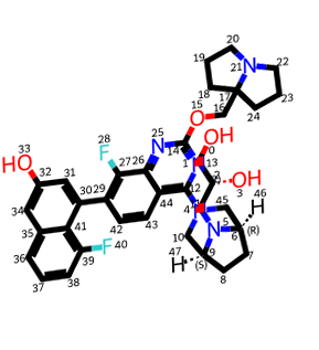 OC[C@H](O)CN1[C@@H]2CC[C@H]1CN(c1nc(OCC34CCCN3CCC4)nc3c(F)c(-c4cc(O)cc5cccc(F)c45)ccc13)C2